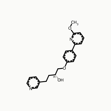 COc1cccc(-c2ccc(OC[C@H](O)CCc3cccnc3)cc2)n1